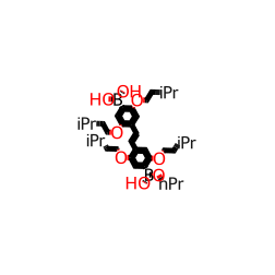 CCCOB(O)c1cc(OCCC(C)C)c(/C=C/c2cc(OCCC(C)C)c(B(O)O)cc2OCCC(C)C)cc1OCCC(C)C